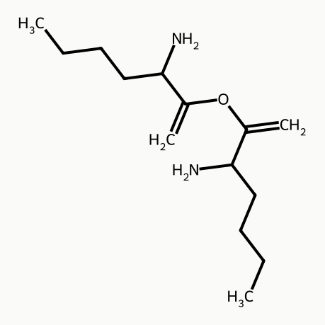 C=C(OC(=C)C(N)CCCC)C(N)CCCC